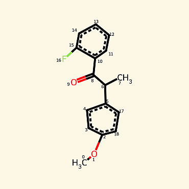 COc1ccc(C(C)C(=O)c2ccccc2F)cc1